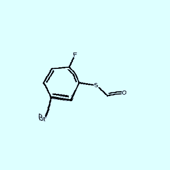 O=CSc1cc(Br)ccc1F